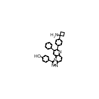 NC1(c2ccc(-c3nc4ccc5nnc(-c6ccc(O)cc6)n5c4cc3-c3ccccc3)cc2)CCC1